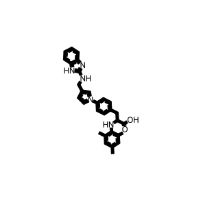 Cc1cc(C)c(NC(Cc2ccc(-n3ccc(CNc4nc5ccccc5[nH]4)c3)cc2)C(=O)O)c(C)c1